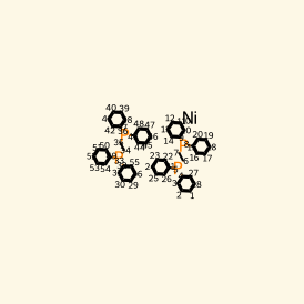 [Ni].c1ccc(P(CCP(c2ccccc2)c2ccccc2)c2ccccc2)cc1.c1ccc(P(CCP(c2ccccc2)c2ccccc2)c2ccccc2)cc1